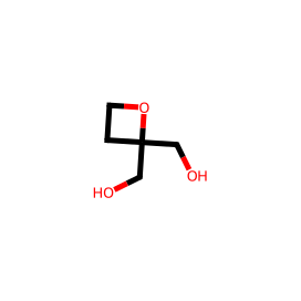 OCC1(CO)CCO1